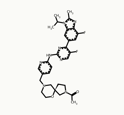 CC(=O)N1CC[C@@]2(CN(Cc3ccc(Nc4ncc(F)c(-c5cc(F)c6nc(C)n(C(C)C)c6c5)n4)nc3)CCO2)C1